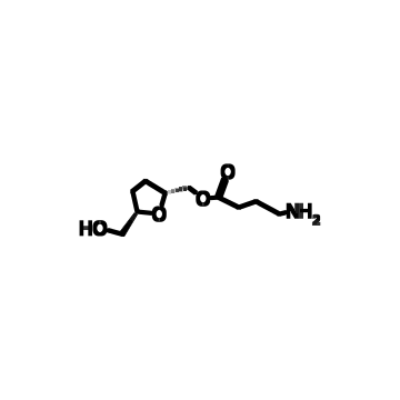 NCCCC(=O)OC[C@H]1CC[C@H](CO)O1